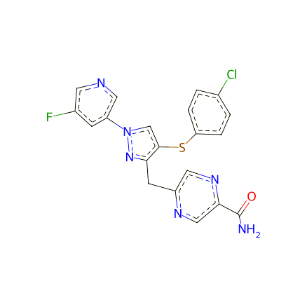 NC(=O)c1cnc(Cc2nn(-c3cncc(F)c3)cc2Sc2ccc(Cl)cc2)cn1